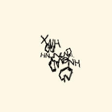 CC(C)(C)c1cc(Nc2nc(N3CCC[C@@]3(C)C(=O)Nc3cccnc3)nn3cccc23)n[nH]1